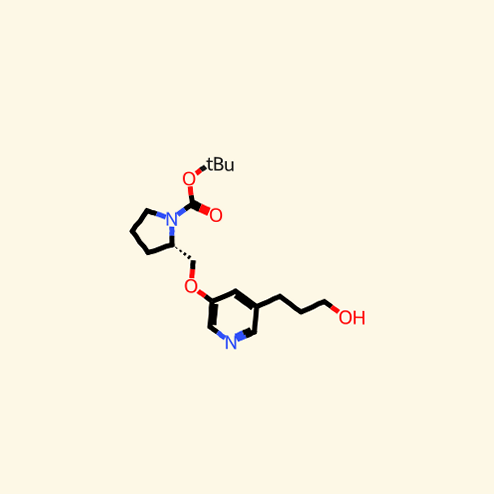 CC(C)(C)OC(=O)N1CCC[C@H]1COc1cncc(CCCO)c1